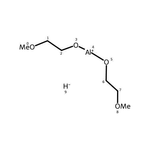 COCC[O][Al+][O]CCOC.[H-]